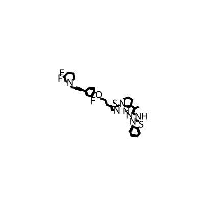 Cc1c(Nc2nc3ccccc3s2)nnc2c1CCCN2c1ncc(CCCOc2ccc(C#CCN3CCCC(F)(F)C3)cc2F)s1